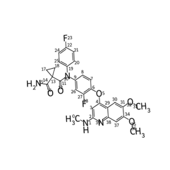 CNc1cc(Oc2ccc(N(C(=O)C3(C(N)=O)CC3)c3ccc(F)cc3)cc2F)c2cc(OC)c(OC)cc2n1